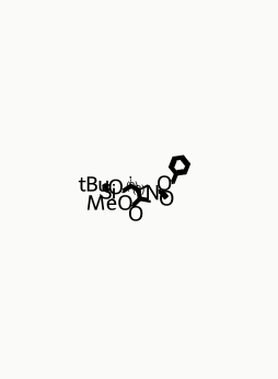 COC(=O)C1CN(C(=O)OCc2ccccc2)C[C@@H]1[C@@H](C)CO[Si](C)(C)C(C)(C)C